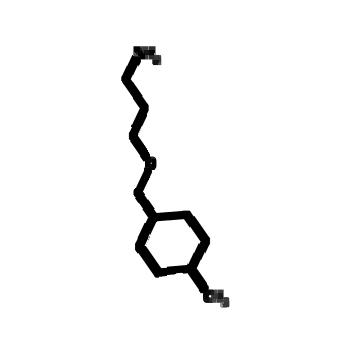 CC1CCC(COCCCN)CC1